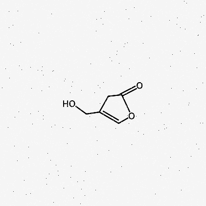 O=C1CC(CO)=CO1